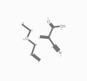 C=C(C#N)C(=O)O.C=CCOCC